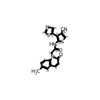 Cc1ccc2c(ccc(=O)n2CC(=O)Nc2scc(C#N)c2-c2cncs2)c1